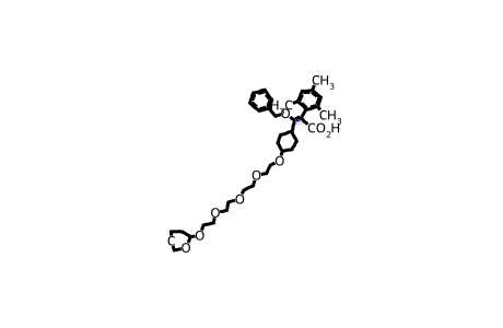 Cc1cc(C)c(/C(C(=O)O)=C(\OCc2ccccc2)C2CCC(OCCOCCOCCOCCOC3CCCCO3)CC2)c(C)c1